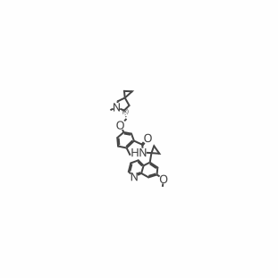 COc1cc(C2(NC(=O)c3cc(OC[C@H]4CC5(CC5)CN4C)ccc3C)CC2)c2cccnc2c1